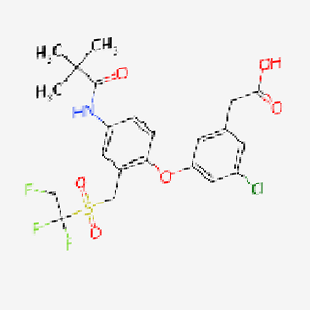 CC(C)(C)C(=O)Nc1ccc(Oc2cc(Cl)cc(CC(=O)O)c2)c(CS(=O)(=O)C(F)(F)CF)c1